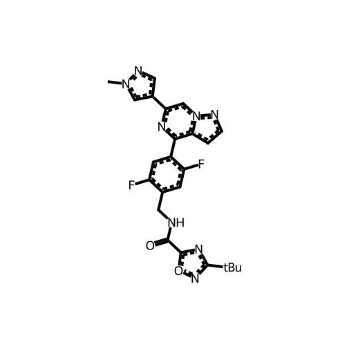 Cn1cc(-c2cn3nccc3c(-c3cc(F)c(CNC(=O)c4nc(C(C)(C)C)no4)cc3F)n2)cn1